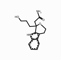 NC(=O)CC1(CCCO)OCCc2c1[nH]c1ccccc21